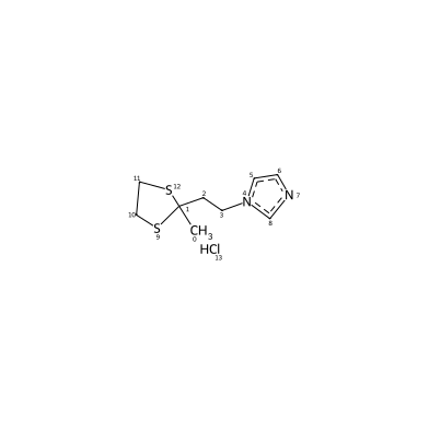 CC1(CCn2ccnc2)SCCS1.Cl